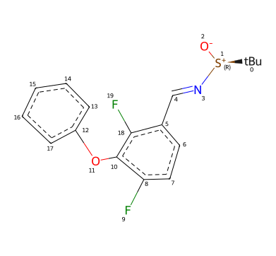 CC(C)(C)[S@+]([O-])N=Cc1ccc(F)c(Oc2ccccc2)c1F